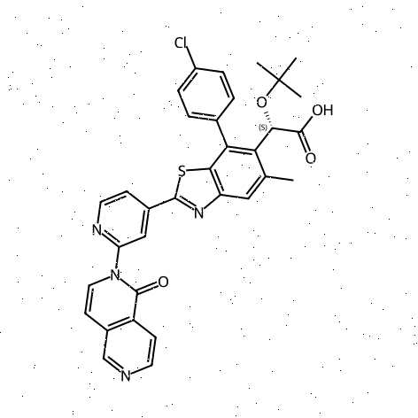 Cc1cc2nc(-c3ccnc(-n4ccc5cnccc5c4=O)c3)sc2c(-c2ccc(Cl)cc2)c1[C@H](OC(C)(C)C)C(=O)O